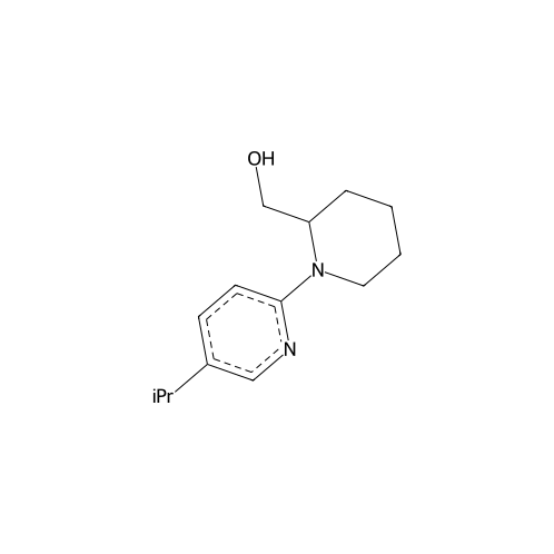 CC(C)c1ccc(N2CCCCC2CO)nc1